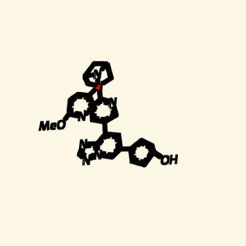 COc1ccc(CN2C3CC2CN(c2ccc(-c4cc(-c5ccc(O)cc5)cn5ncnc45)cn2)C3)cn1